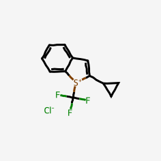 FC(F)(F)[s+]1c(C2CC2)cc2ccccc21.[Cl-]